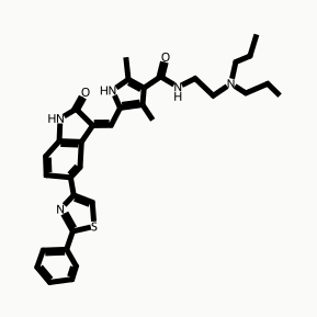 CCCN(CCC)CCNC(=O)c1c(C)[nH]c(/C=C2\C(=O)Nc3ccc(-c4csc(-c5ccccc5)n4)cc32)c1C